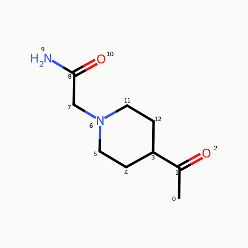 CC(=O)C1CCN(CC(N)=O)CC1